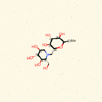 COC1O[C@H](CN2C[C@H](O)[C@@H](O)[C@H](O)[C@H]2CO)[C@@H](O)[C@H](O)[C@H]1O